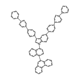 c1ccc(-c2ccc(-c3ccc(-c4ccc5c(c4)c(-c4ccc(-c6ccc(-c7ccccc7)cc6)cc4)cn5-c4ccc(-c5cc6ccccc6c6ccccc56)c5ccccc45)cc3)cc2)cc1